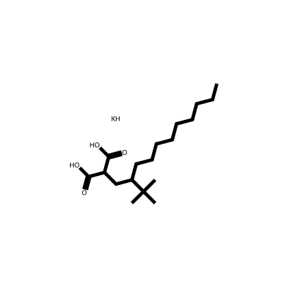 CCCCCCCCCC(CC(C(=O)O)C(=O)O)C(C)(C)C.[KH]